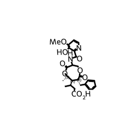 COc1ccnc(C(=O)NC2COC(=O)[C@H](Cc3ccccc3)[C@@H](C(C)CC(=O)O)[C@H](C)OC2=O)c1O